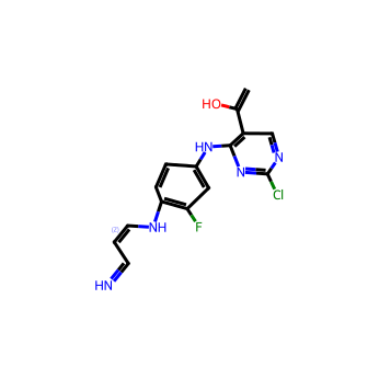 C=C(O)c1cnc(Cl)nc1Nc1ccc(N/C=C\C=N)c(F)c1